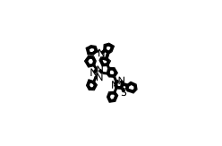 c1ccc(-c2nc(-c3ccccc3)nc(-c3cc(-c4nc(-c5ccccc5)c5sc6ccccc6c5n4)ccc3-c3ccc4c(c3)c3ccccc3n4-c3ccccc3)n2)cc1